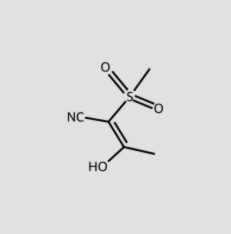 CC(O)=C(C#N)S(C)(=O)=O